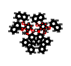 [C-]#[N+]c1c(Oc2cc3c(cc2Oc2cccc(Oc4cccc5ccccc45)c2[N+]#[C-])C2(CC34CC3(c5ccccc5-c5ccccc53)c3cc(Oc5cccc(Oc6cccc7ccccc67)c5C#N)c(Oc5cccc(Oc6cccc7ccccc67)c5C#N)cc34)c3ccccc3-c3ccccc32)cccc1Oc1cccc2ccccc12